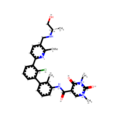 COc1nc(-c2cccc(-c3cccc(NC(=O)c4cn(C)c(=O)n(C)c4=O)c3C)c2Cl)ccc1CN[C@@H](C)CO